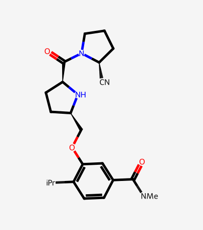 CNC(=O)c1ccc(C(C)C)c(OC[C@H]2CC[C@@H](C(=O)N3CCC[C@H]3C#N)N2)c1